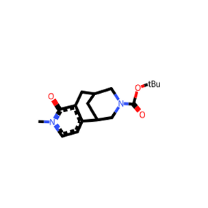 Cn1ccc2c(c1=O)CC1CC2CN(C(=O)OC(C)(C)C)C1